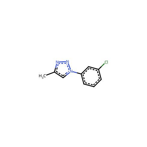 Cc1cn(-c2cccc(Cl)c2)nn1